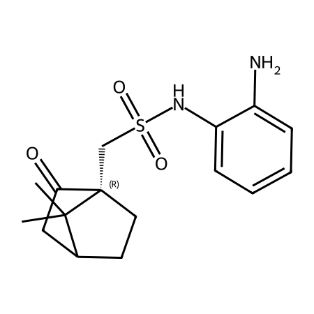 CC1(C)C2CC[C@]1(CS(=O)(=O)Nc1ccccc1N)C(=O)C2